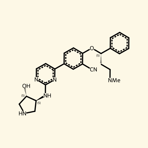 CNCC[C@H](Oc1ccc(-c2ccnc(N[C@H]3CNC[C@@H]3O)n2)cc1C#N)c1ccccc1